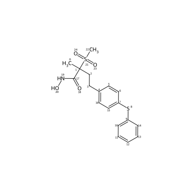 CC(CCc1ccc(Sc2ccccc2)cc1)(C(=O)NO)S(C)(=O)=O